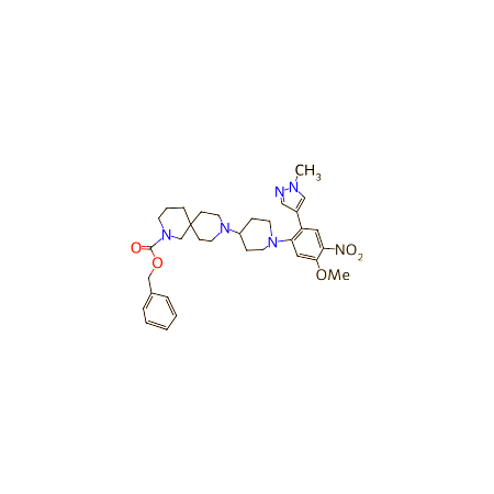 COc1cc(N2CCC(N3CCC4(CCCN(C(=O)OCc5ccccc5)C4)CC3)CC2)c(-c2cnn(C)c2)cc1[N+](=O)[O-]